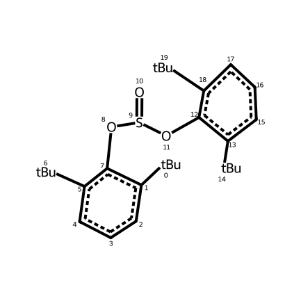 CC(C)(C)c1cccc(C(C)(C)C)c1OS(=O)Oc1c(C(C)(C)C)cccc1C(C)(C)C